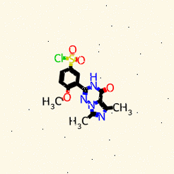 COc1ccc(S(=O)(=O)Cl)cc1-c1nn2c(C)nc(C)c2c(=O)[nH]1